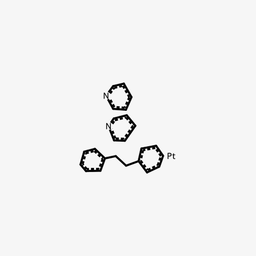 [Pt].c1ccc(CCc2ccccc2)cc1.c1ccncc1.c1ccncc1